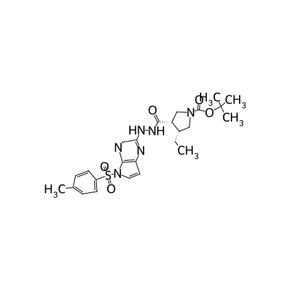 CC[C@H]1CN(C(=O)OC(C)(C)C)C[C@H]1C(=O)NNc1cnc2c(ccn2S(=O)(=O)c2ccc(C)cc2)n1